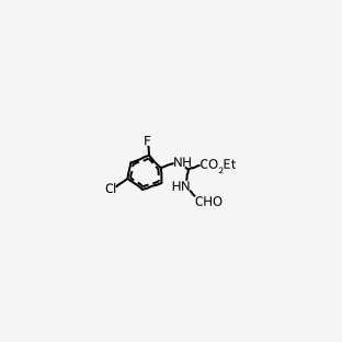 CCOC(=O)C(NC=O)Nc1ccc(Cl)cc1F